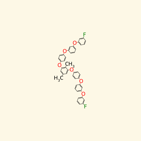 Cc1cc(Oc2ccc(Oc3cccc(Oc4cccc(F)c4)c3)cc2)c(C)c(Oc2ccc(Oc3cccc(Oc4cccc(F)c4)c3)cc2)c1